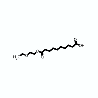 CCOCCOC(=O)CCCCCCCCC(=O)O